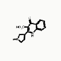 CN1CCC(c2[nH]c3ccccc3c(=O)c2C(=O)O)C1